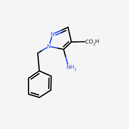 Nc1c(C(=O)O)cnn1Cc1ccccc1